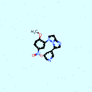 COc1ccc([N+](=O)[O-])cc1-n1ccc2ncc(-c3cccnc3)n21